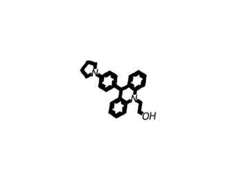 OCCN1c2ccccc2C(c2ccc(N3CCCC3)cc2)c2ccccc21